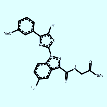 CNC(=O)CNC(=O)c1nn(-c2nc(-c3cccc(OC)c3)c(C(C)C)s2)c2ccc(C(F)(F)F)cc12